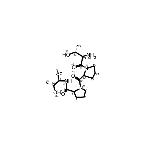 CC(=O)[C@@H](NC(=O)C1CCCN1C(=O)C1CCCN1C(=O)C(N)[C@@H](C)O)[C@@H](C)O